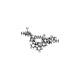 COc1nc(-c2cccc(-c3cccc(-c4ccn5c(=O)c(CNC[C@@H](C)O)c(C)nc5c4)c3Cl)c2Cl)ccc1CNC[C@H](C)O